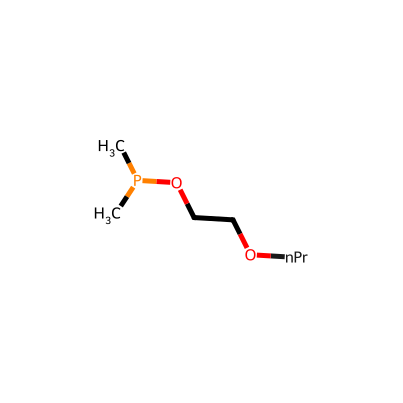 CCCOCCOP(C)C